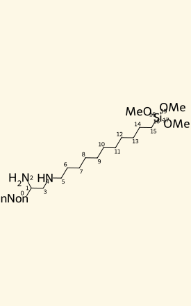 CCCCCCCCCC(N)CNCCCCCCCCCCC[Si](OC)(OC)OC